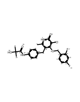 Cc1[nH]c(=O)c(Cl)c(OCc2ccc(F)cc2F)c1Cc1ccc(NC(=O)C(C)(C)O)cc1